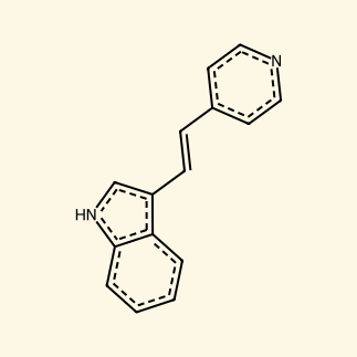 C(=C\c1c[nH]c2ccccc12)/c1ccncc1